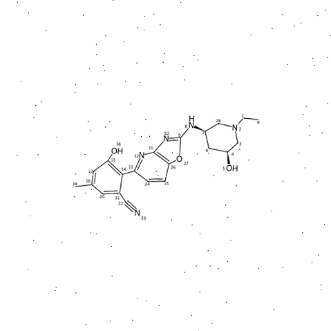 CCN1C[C@@H](O)C[C@@H](Nc2nc3nc(-c4c(O)cc(C)cc4C#N)ccc3o2)C1